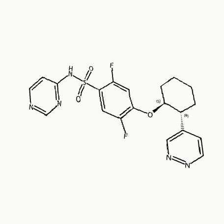 O=S(=O)(Nc1ccncn1)c1cc(F)c(O[C@H]2CCCC[C@@H]2c2ccnnc2)cc1F